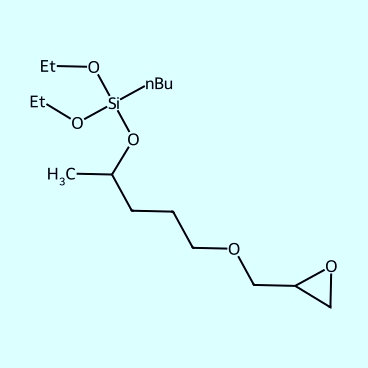 CCCC[Si](OCC)(OCC)OC(C)CCCOCC1CO1